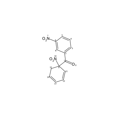 O=C(c1cccc([N+](=O)[O-])c1)C1([N+](=O)[O-])C=CC=CC1